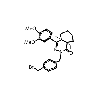 COc1ccc(C2=NN(Cc3ccc(CBr)cc3)C(=O)[C@@H]3CCCC[C@H]23)cc1OC